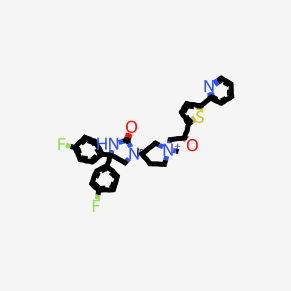 C[N+]1(CC(=O)c2ccc(-c3ccccn3)s2)CC[C@@H](N2CC(c3ccc(F)cc3)(c3ccc(F)cc3)NC2=O)C1